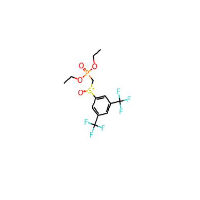 CCOP(=O)(C[S+]([O-])c1cc(C(F)(F)F)cc(C(F)(F)F)c1)OCC